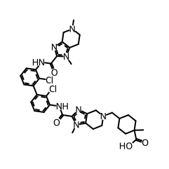 CN1CCc2c(nc(C(=O)Nc3cccc(-c4cccc(NC(=O)c5nc6c(n5C)CCN(CC5CCC(C)(C(=O)O)CC5)C6)c4Cl)c3Cl)n2C)C1